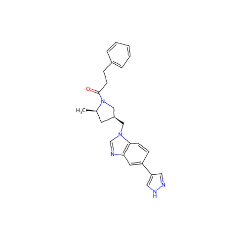 C[C@@H]1C[C@H](Cn2cnc3cc(-c4cn[nH]c4)ccc32)CN1C(=O)CCc1ccccc1